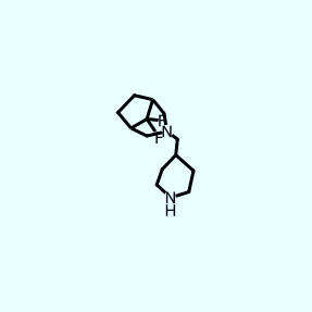 FC1(F)C2CCC1CN(CC1CCNCC1)C2